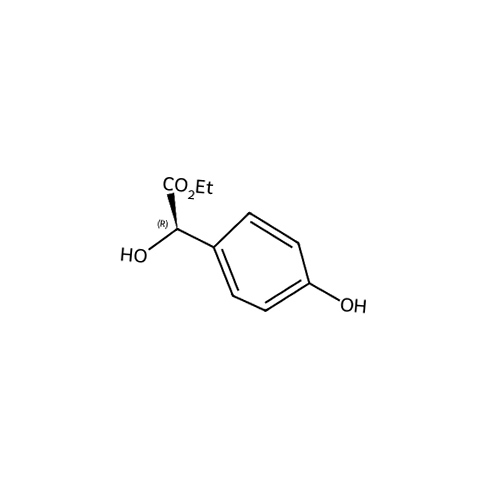 CCOC(=O)[C@H](O)c1ccc(O)cc1